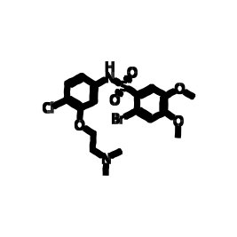 COc1cc(Br)c(S(=O)(=O)Nc2ccc(Cl)c(OCCN(C)C)c2)cc1OC